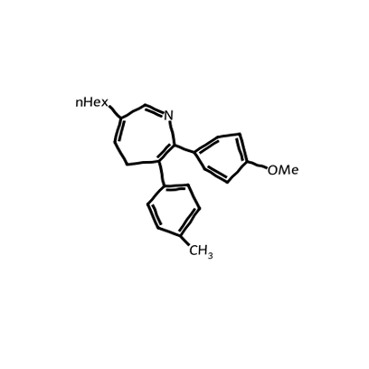 CCCCCCC1=CCC(c2ccc(C)cc2)=C(c2ccc(OC)cc2)N=C1